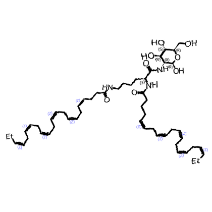 CC/C=C\C/C=C\C/C=C\C/C=C\C/C=C\C/C=C\CCC(=O)NCCCC[C@H](NC(=O)CCC/C=C\C/C=C\C/C=C\C/C=C\C/C=C\CC)C(=O)N[C@@H]1[C@@H](O)[C@H](O)[C@@H](CO)O[C@H]1O